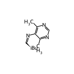 CC[C@H](C)/C=N\c1c(C)ncnc1C